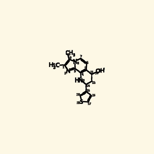 Cc1nc2c3c(ccn2c1C)C(O)CC(c1ccsc1)N3